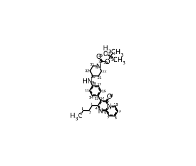 CCCCc1nc2ccccn2c(=O)c1-c1ccc(NC2CCN(C(=O)OC(C)(C)C)CC2)cc1